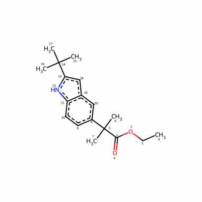 CCOC(=O)C(C)(C)c1ccc2[nH]c(C(C)(C)C)cc2c1